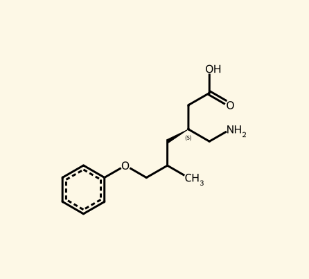 CC(COc1ccccc1)C[C@H](CN)CC(=O)O